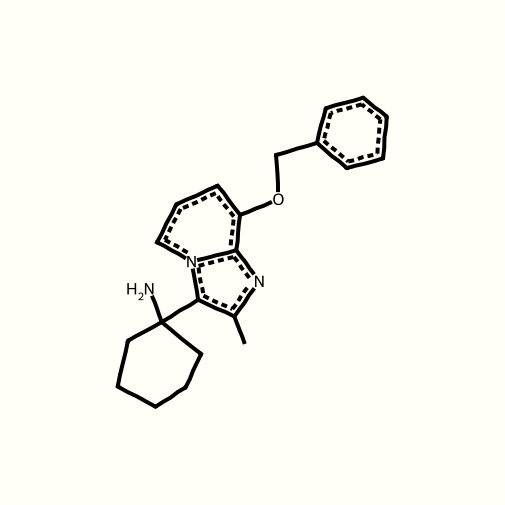 Cc1nc2c(OCc3ccccc3)cccn2c1C1(N)CCCCC1